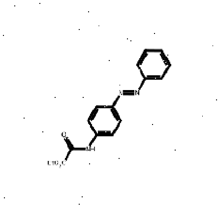 CCOC(=O)C(=O)Nc1ccc(/N=N/c2ccccc2)cc1